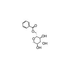 O=C(OC[C@H]1O[CH][C@H](O)[C@@H](O)[C@@H]1O)c1ccccc1